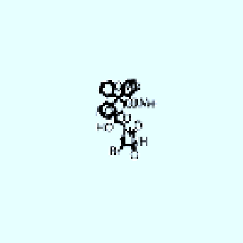 COc1ccccc1C(c1ccccc1)(c1ccccc1OC)C(O)[C@H]1O[C@@H](n2cc(Br)c(=O)[nH]c2=O)[C@H](O)[C@@H]1O